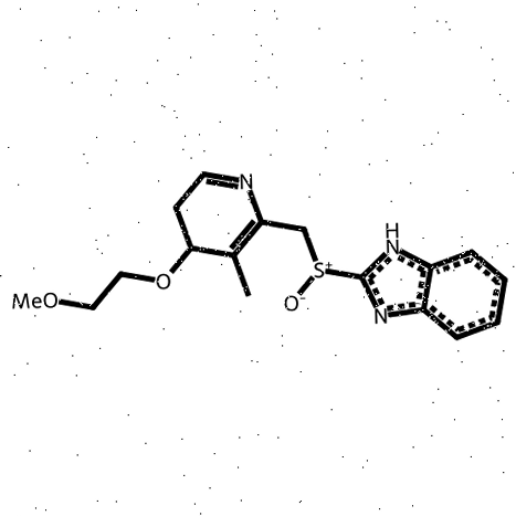 COCCOC1CC=NC(C[S+]([O-])c2nc3ccccc3[nH]2)=C1C